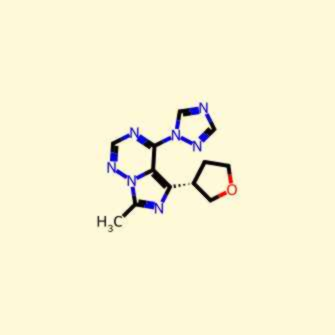 Cc1nc([C@@H]2CCOC2)c2c(-n3cncn3)ncnn12